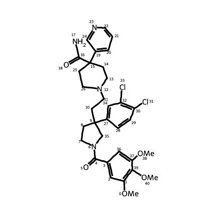 COc1cc(C(=O)N2CCC(CCN3CCC(C(N)=O)(c4cccnc4)CC3)(c3ccc(Cl)c(Cl)c3)C2)cc(OC)c1OC